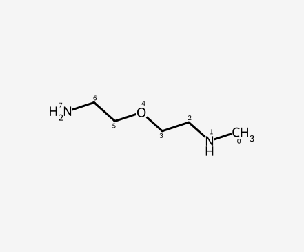 CNCCOCCN